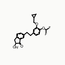 O=C1c2cc(CCc3ccc(OC(F)F)c(OCC4CC4)c3)ccc2CC1O